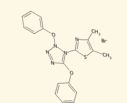 Cc1nc(-[n+]2c(Oc3ccccc3)nnn2Oc2ccccc2)sc1C.[Br-]